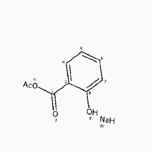 CC(=O)OC(=O)c1ccccc1O.[NaH]